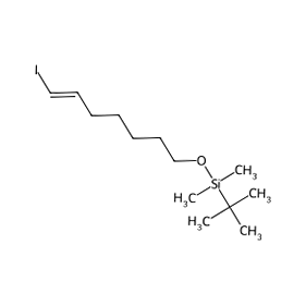 CC(C)(C)[Si](C)(C)OCCCCCC=CI